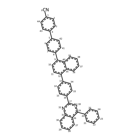 N#Cc1ccc(-c2ccc(-c3ccc(-c4ccc(-c5nc(-c6ccccc6)c6ccccc6n5)cc4)c4ccccc34)cc2)cc1